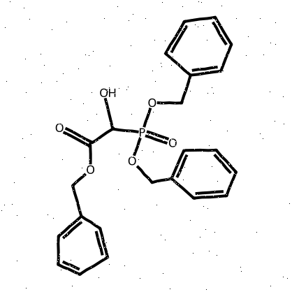 O=C(OCc1ccccc1)C(O)P(=O)(OCc1ccccc1)OCc1ccccc1